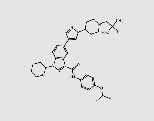 CC(C)(F)CN1CCC(n2cc(-c3ccc4c(c3)c(C(=O)Nc3ccc(OC(F)F)cc3)nn4C3CCCCO3)cn2)CC1